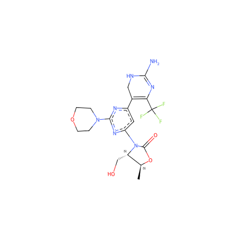 C[C@@H]1OC(=O)N(c2cc(C3=C(C(F)(F)F)N=C(N)NC3)nc(N3CCOCC3)n2)[C@H]1CO